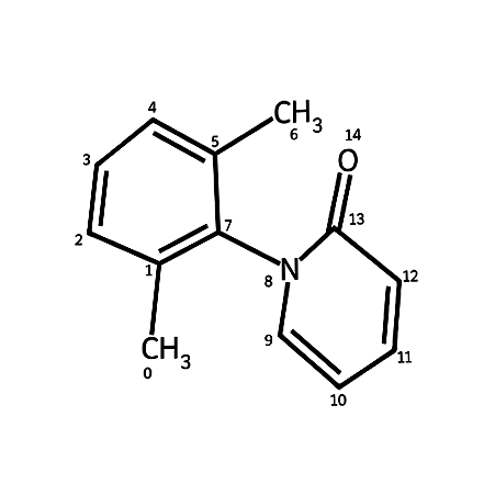 Cc1cccc(C)c1-n1ccccc1=O